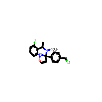 CC(c1ccccc1Cl)N(C(=O)O)C1(c2ccc(CCl)cc2)C=CON1